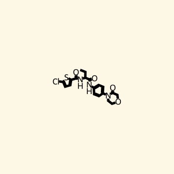 CCC(NC(=O)c1ccc(Cl)s1)C(=O)Nc1ccc(N2CCOCC2=O)cc1